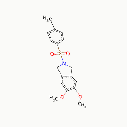 COc1cc2c(cc1OC)CN(S(=O)(=O)c1ccc(C)cc1)C2